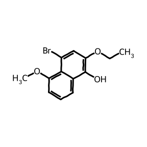 CCOc1cc(Br)c2c(OC)cccc2c1O